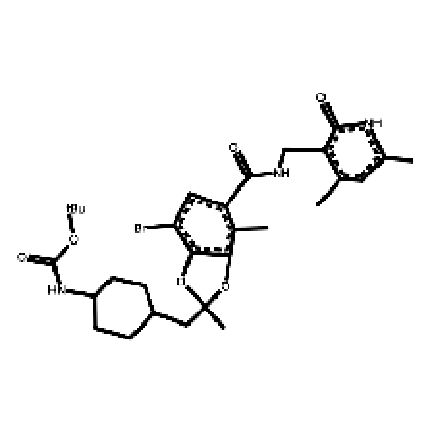 Cc1cc(C)c(CNC(=O)c2cc(Br)c3c(c2C)OC(C)(CC2CCC(NC(=O)OC(C)(C)C)CC2)O3)c(=O)[nH]1